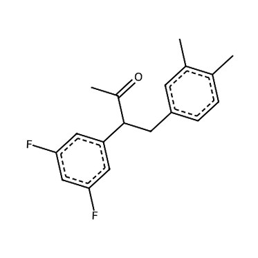 CC(=O)C(Cc1ccc(C)c(C)c1)c1cc(F)cc(F)c1